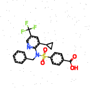 O=C(O)c1ccc(S(=O)(=O)N(Cc2ccccc2)c2ncc(C(F)(F)F)cc2C2CC2)cc1